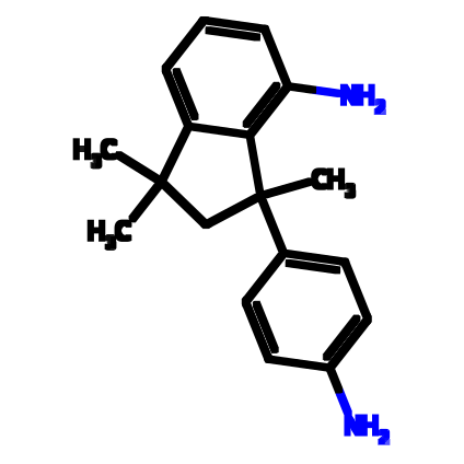 CC1(C)CC(C)(c2ccc(N)cc2)c2c(N)cccc21